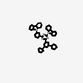 C1=Cc2c(c3ccccc3n2-c2cccc(-c3nc(-c4cc(-c5ccccc5)cc(-c5ccccc5)c4)nc(-n4c5ccccc5c5ccccc54)n3)c2)CC1